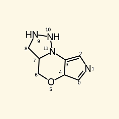 C1=NC=C2C1OCC1CNNN21